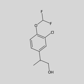 C[C](CO)c1ccc(OC(F)F)c(Cl)c1